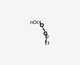 CCC=CCOc1ccc(C#Cc2ccc(CCCCCCCC)cc2)cc1